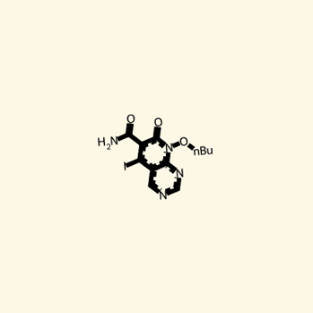 CCCCOn1c(=O)c(C(N)=O)c(I)c2cncnc21